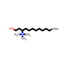 CCCCCCCCCCCCCCCCCCC(CCO)[N+](C)(C)C